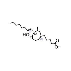 CCCCCC/C=C/[C@@H]1C(C)C/C(CCCCC(=O)OC)=C\CC[C@H]1O